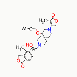 COCOC1CN(C2=C(C)C(=O)OC2)CCC12CCN(C[C@H](O)c1ccc3c(c1C)COC3=O)CC2